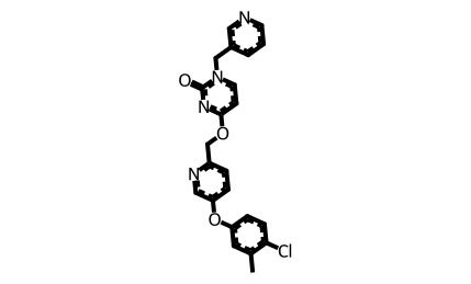 Cc1cc(Oc2ccc(COc3ccn(Cc4cccnc4)c(=O)n3)nc2)ccc1Cl